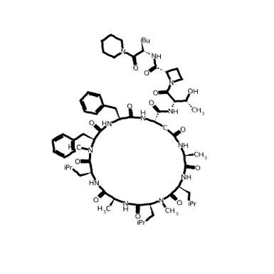 CC[C@H](C)[C@H](NC(=O)[C@@H]1CCN1C(=O)[C@@H](NC(=O)[C@@H]1CC(=O)N[C@@H](C)C(=O)N[C@@H](CC(C)C)C(=O)N(C)[C@@H](CC(C)C)C(=O)N[C@@H](C)C(=O)N[C@@H](CC(C)C)C(=O)N(C)[C@@H](Cc2ccccc2)C(=O)N[C@@H](Cc2ccccc2)C(=O)N1)[C@@H](C)O)C(=O)N1CCCCC1